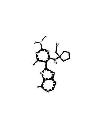 Cc1nc([S+](C)[O-])nc(NC2(CO)CCCC2)c1-c1nc2c(C)nccc2s1